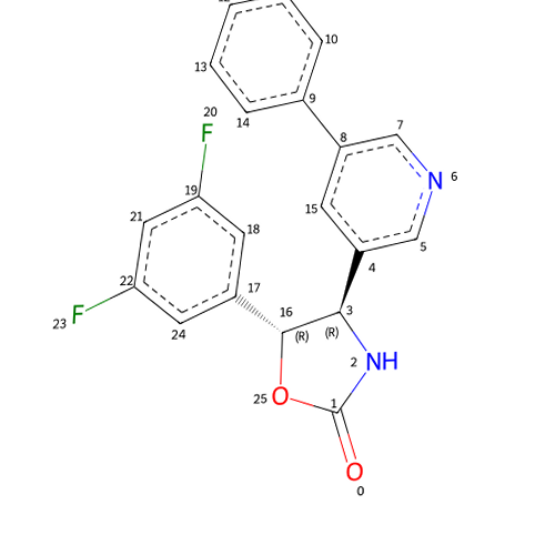 O=C1N[C@H](c2cncc(-c3ccccc3)c2)[C@@H](c2cc(F)cc(F)c2)O1